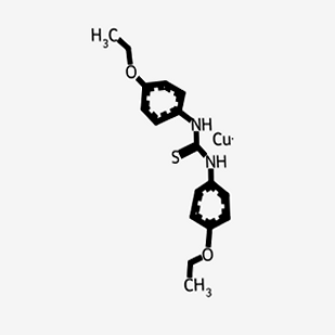 CCOc1ccc(NC(=S)Nc2ccc(OCC)cc2)cc1.[Cu]